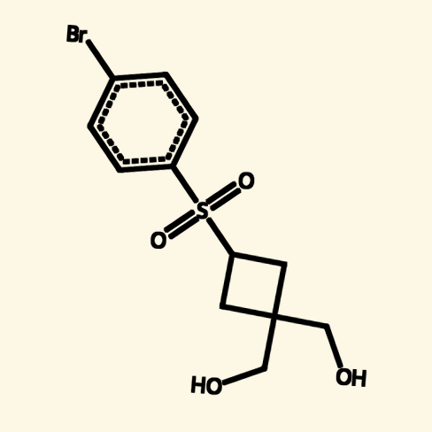 O=S(=O)(c1ccc(Br)cc1)C1CC(CO)(CO)C1